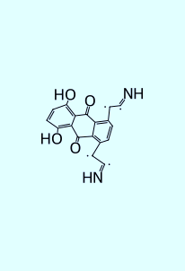 N=[C][CH]c1ccc([CH][C]=N)c2c1C(=O)c1c(O)ccc(O)c1C2=O